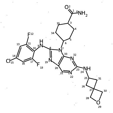 NC(=O)C1CCC(n2c(Nc3c(F)cc(Cl)cc3F)nc3cnc(NC4CC5(COC5)C4)nc32)CC1